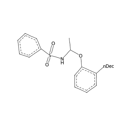 CCCCCCCCCCc1ccccc1OC(C)NS(=O)(=O)c1ccccc1